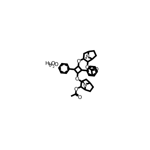 CC(=O)OC1C(OC2C(c3ccccc3)C(OC3CC4CCC(C3OC(C)=O)N4C)C2c2ccccc2)CC2CCC1N2C.O.O